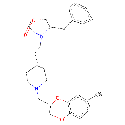 N#Cc1ccc2c(c1)OC(CN1CCC(CCN3C(=O)OCC3Cc3ccccc3)CC1)CO2